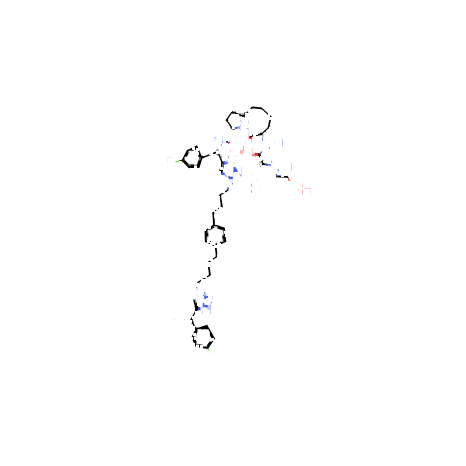 C[C@@H](c1ccc(F)cc1)c1cn(CCCCc2ccc(CCCCn3cc([C@@H](NC(=O)[C@@H]4CC[C@@H]5CCCC[C@H](NC(=O)[C@H](C)NCCO)C(=O)N54)c4ccc(F)cc4)nn3)cc2)nn1